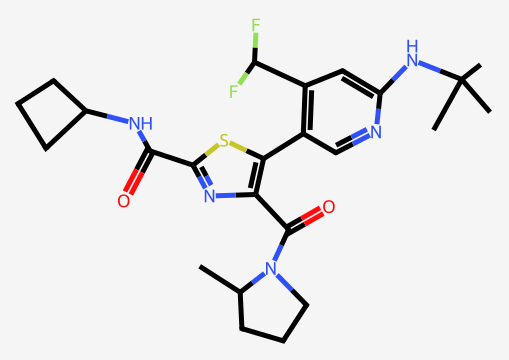 CC1CCCN1C(=O)c1nc(C(=O)NC2CCC2)sc1-c1cnc(NC(C)(C)C)cc1C(F)F